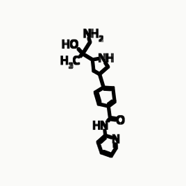 CC(O)(CN)C1CC(c2ccc(C(=O)Nc3ccccn3)cc2)CN1